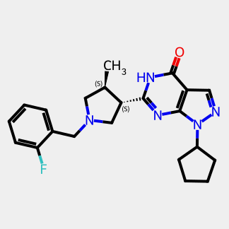 C[C@@H]1CN(Cc2ccccc2F)C[C@H]1c1nc2c(cnn2C2CCCC2)c(=O)[nH]1